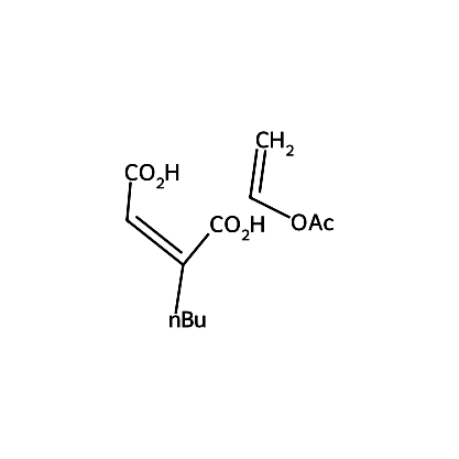 C=COC(C)=O.CCCC/C(=C/C(=O)O)C(=O)O